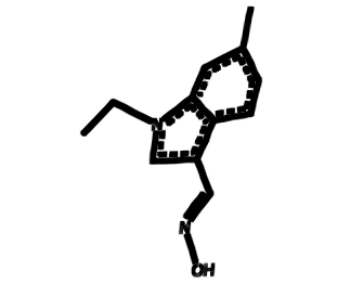 CCn1cc(/C=N/O)c2ccc(C)cc21